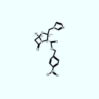 C[C@@]1(Cn2ccnc2)S[C@H]2CC(=O)N2[C@H]1C(=O)OCc1ccc([N+](=O)[O-])cc1